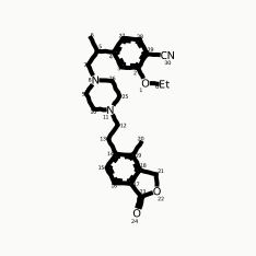 CCOc1cc(C(C)CN2CCN(CCc3ccc4c(c3C)COC4=O)CC2)ccc1C#N